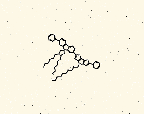 CCCCCCCCCCn1c2cc(-c3ccccc3)sc2c2sc(-c3ccc4c(c3)C(CCCCCCCC)(CCCCCCCC)c3cc(-c5ccccc5)ccc3-4)cc21